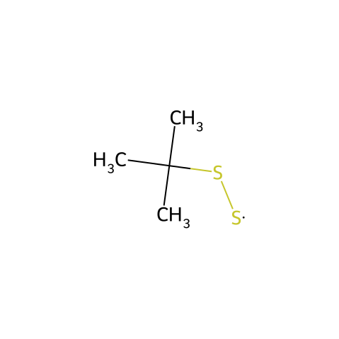 CC(C)(C)S[S]